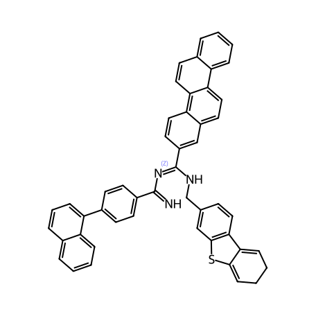 N=C(/N=C(\NCc1ccc2c3c(sc2c1)=CCCC=3)c1ccc2c(ccc3c4ccccc4ccc23)c1)c1ccc(-c2cccc3ccccc23)cc1